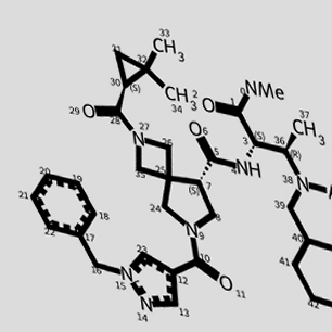 CNC(=O)[C@@H](NC(=O)[C@@H]1CN(C(=O)c2cnn(Cc3ccccc3)c2)CC12CN(C(=O)[C@H]1CC1(C)C)C2)[C@@H](C)N(CC1CCCCC1)C(C)=O